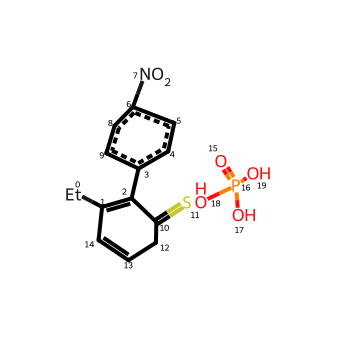 CCC1=C(c2ccc([N+](=O)[O-])cc2)C(=S)CC=C1.O=P(O)(O)O